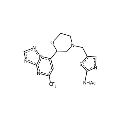 CC(=O)Nc1ncc(CN2CCOC(c3cc(C(F)(F)F)nc4ncnn34)C2)s1